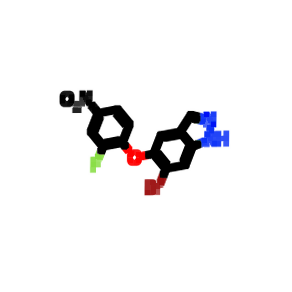 O=[N+]([O-])c1ccc(Oc2cc3cn[nH]c3cc2Br)c(F)c1